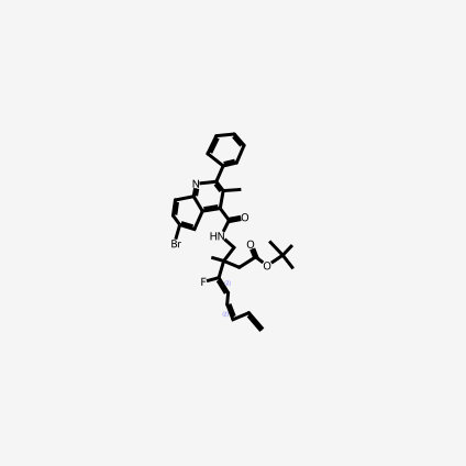 C=C/C=C\C=C(/F)C(C)(CNC(=O)c1c(C)c(-c2ccccc2)nc2ccc(Br)cc12)CC(=O)OC(C)(C)C